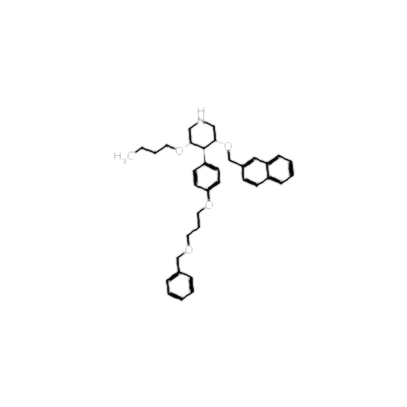 CCCCO[C@@H]1CNC[C@H](OCc2ccc3ccccc3c2)[C@H]1c1ccc(OCCCOCc2ccccc2)cc1